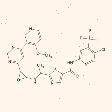 COc1ccncc1-c1cc(C2OC2NC(C)c2ncc(C(=O)Nc3cc(C(F)(F)F)c(Cl)cn3)s2)ncn1